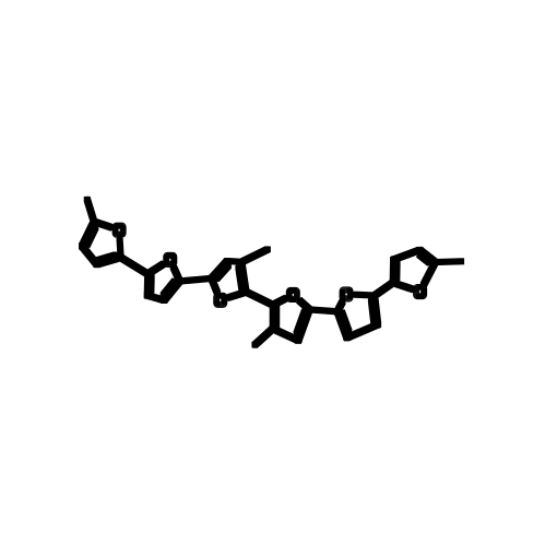 Cc1ccc(-c2ccc(-c3cc(C)c(-c4oc(-c5ccc(-c6ccc(C)o6)o5)cc4C)o3)o2)o1